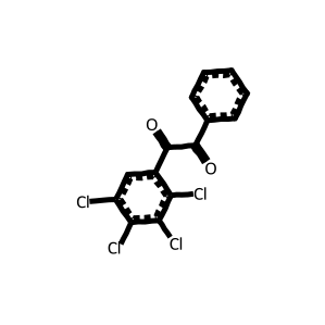 O=C(C(=O)c1cc(Cl)c(Cl)c(Cl)c1Cl)c1ccccc1